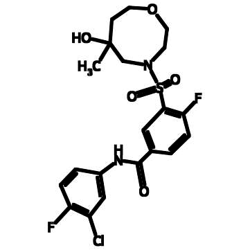 CC1(O)CCOCCN(S(=O)(=O)c2cc(C(=O)Nc3ccc(F)c(Cl)c3)ccc2F)C1